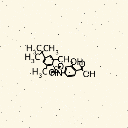 Cc1cc(C(C)(C)C)cc(C)c1S(=O)(=O)Nc1ccc(C(=O)O)c(O)c1